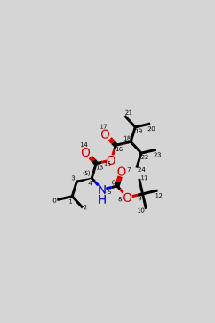 CC(C)C[C@H](NC(=O)OC(C)(C)C)C(=O)OC(=O)C(C(C)C)C(C)C